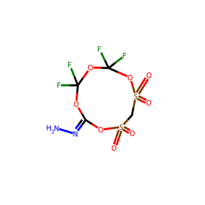 NN=C1OC(F)(F)OC(F)(F)OS(=O)(=O)CS(=O)(=O)O1